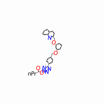 CCCC(=O)On1nnc(-c2ccc(COc3cccc(OCc4ccc5ccccc5n4)c3)cc2)n1